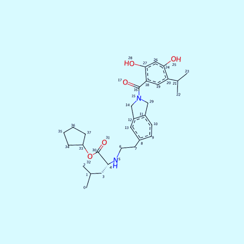 CC(C)C[C@@H](NCCc1ccc2c(c1)CN(C(=O)c1cc(C(C)C)c(O)cc1O)C2)C(=O)OC1CCCC1